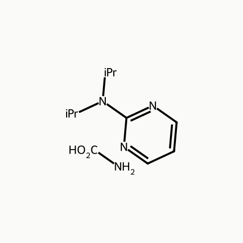 CC(C)N(c1ncccn1)C(C)C.NC(=O)O